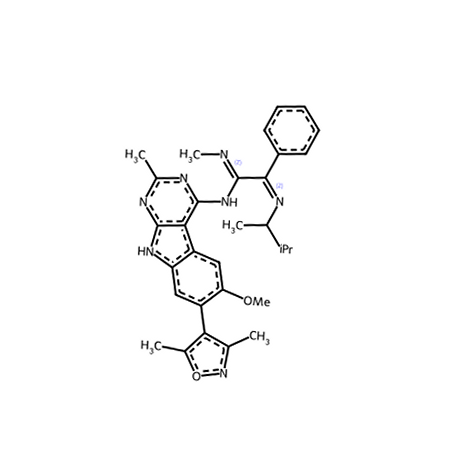 C/N=C(Nc1nc(C)nc2[nH]c3cc(-c4c(C)noc4C)c(OC)cc3c12)/C(=N\C(C)C(C)C)c1ccccc1